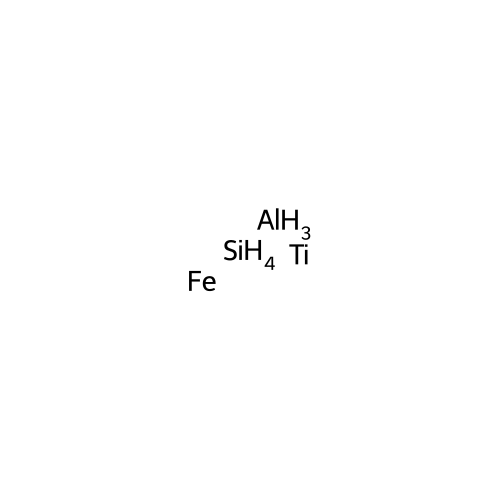 [AlH3].[Fe].[SiH4].[Ti]